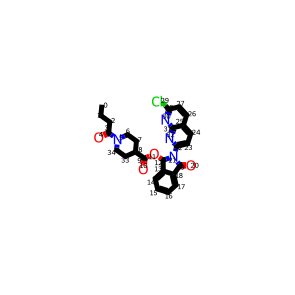 CCCC(=O)N1CCC(C(=O)OC2c3ccccc3C(=O)N2c2ccc3ccc(Cl)nc3n2)CC1